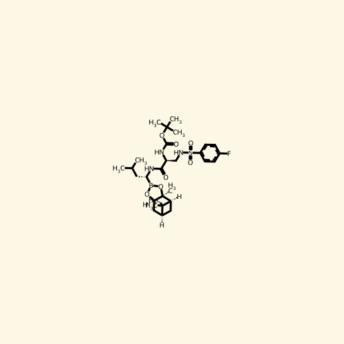 CC(C)C[C@H](NC(=O)[C@H](CNS(=O)(=O)c1ccc(F)cc1)NC(=O)OC(C)(C)C)B1O[C@@H]2C[C@@H]3C[C@@H](C3(C)C)[C@]2(C)O1